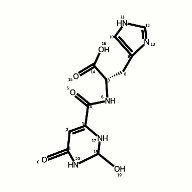 O=C1C=C(C(=O)N[C@@H](Cc2c[nH]cn2)C(=O)O)NC(O)N1